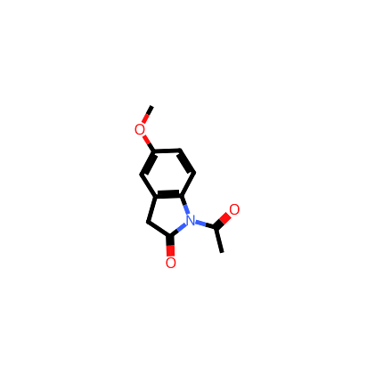 COc1ccc2c(c1)CC(=O)N2C(C)=O